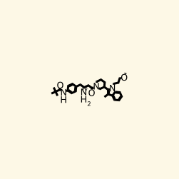 COCCCn1c(C2CCCN(C(=O)C[C@H](N)Cc3ccc(NC(=O)C(C)(C)C)cc3)C2)c(C)c2ccccc21